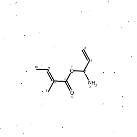 C=CC(N)OC(=O)C(C)=CC